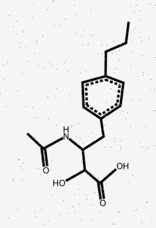 CCCc1ccc(CC(NC(C)=O)C(O)C(=O)O)cc1